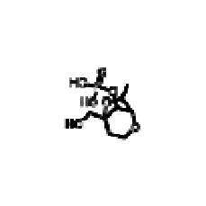 CC1OC2(CO)CCOC1C2OP(=O)(O)O